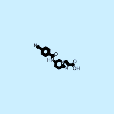 N#Cc1ccc(C(=O)NC2CCc3nc(C(=O)O)cn3C2)cc1